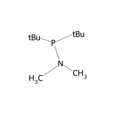 CN(C)P(C(C)(C)C)C(C)(C)C